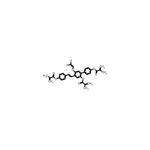 C=C(C)C(=O)Oc1ccc(/C=C/c2cc(OC(=O)C(=C)C)c(-c3ccc(OC(=O)C(=C)C)cc3)cc2OC=C(F)F)cc1